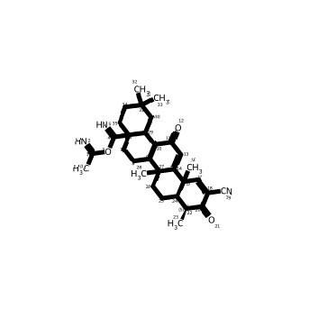 CC(=N)OC(=N)C12CCC3C(C(=O)C=C4C5(C)C=C(C#N)C(=O)[C@@H](C)C5CCC43C)C1CC(C)(C)CC2